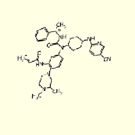 C=CC(=O)Nc1cc(N(C(=O)N[C@@H](C)c2ccccc2)C2CCC(Nc3ccc(C#N)cn3)CC2)ccc1N1CCN(C)C(C)C1